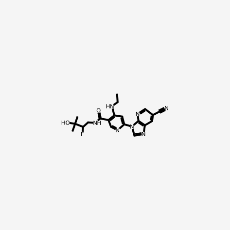 CCNc1cc(-n2cnc3cc(C#N)cnc32)ncc1C(=O)NCC(F)C(C)(C)O